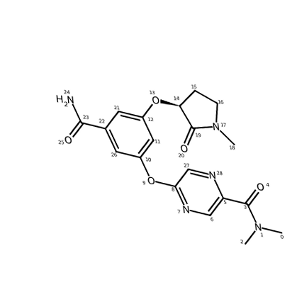 CN(C)C(=O)c1cnc(Oc2cc(O[C@H]3CCN(C)C3=O)cc(C(N)=O)c2)cn1